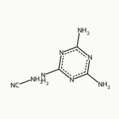 N#CN.Nc1nc(N)nc(N)n1